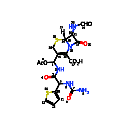 CC(=O)OC(NC(=O)C(NC(N)=O)c1cccs1)C1=C(C(=O)O)N2C(=O)[C@H](NC=O)[C@H]2SC1